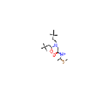 CSC(C)NC(=O)CN(CCC(C)(C)C)C(=O)CC(C)(C)C